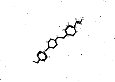 CCc1ccc(C2CCC(CCC3CCC(/C=C/Cl)CC3)CC2)cc1